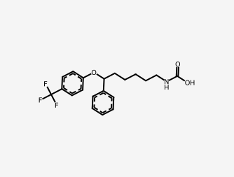 O=C(O)NCCCCCC(Oc1ccc(C(F)(F)F)cc1)c1ccccc1